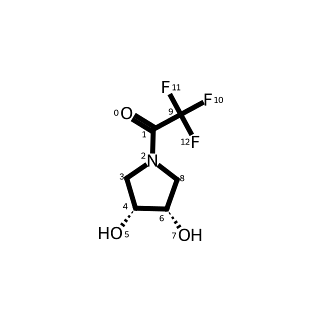 O=C(N1C[C@@H](O)[C@@H](O)C1)C(F)(F)F